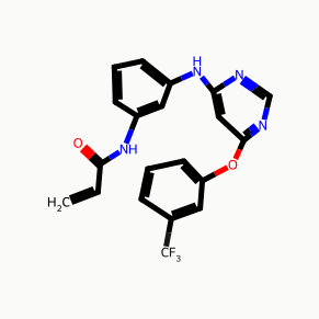 C=CC(=O)Nc1cccc(Nc2cc(Oc3cccc(C(F)(F)F)c3)ncn2)c1